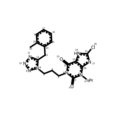 CCCn1c(=O)n(CCCn2nnnc2Cc2ccccc2C)c(=O)c2[nH]c(Cl)nc21